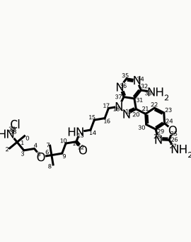 CC(C)(CCOC(C)(C)CCC(=O)NCCCCn1nc(-c2ccc3oc(N)nc3c2)c2c(N)ncnc21)NCl